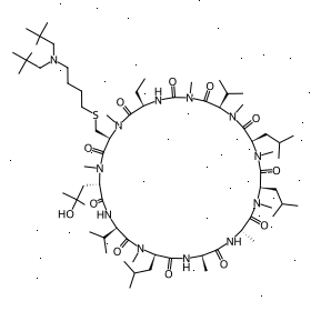 CC[C@H]1NC(=O)N(C)C(=O)[C@@H](C(C)C)N(C)C(=O)[C@@H](CC(C)C)N(C)C(=O)[C@@H](CC(C)C)N(C)C(=O)[C@H](C)NC(=O)[C@@H](C)NC(=O)[C@@H](CC(C)C)N(C)C(=O)[C@@H](C(C)C)NC(=O)[C@H](CC(C)(C)O)N(C)C(=O)[C@@H](CSCCCCN(CC(C)(C)C)CC(C)(C)C)N(C)C1=O